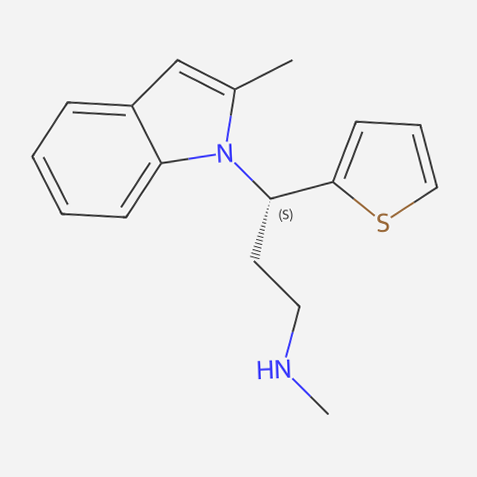 CNCC[C@@H](c1cccs1)n1c(C)cc2ccccc21